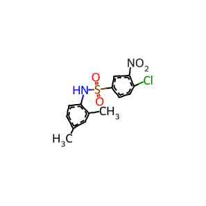 Cc1ccc(NS(=O)(=O)c2ccc(Cl)c([N+](=O)[O-])c2)c(C)c1